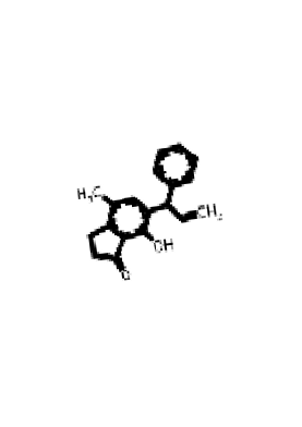 C=CC(c1ccccc1)c1cc(C)c2c(c1O)C(=O)CC2